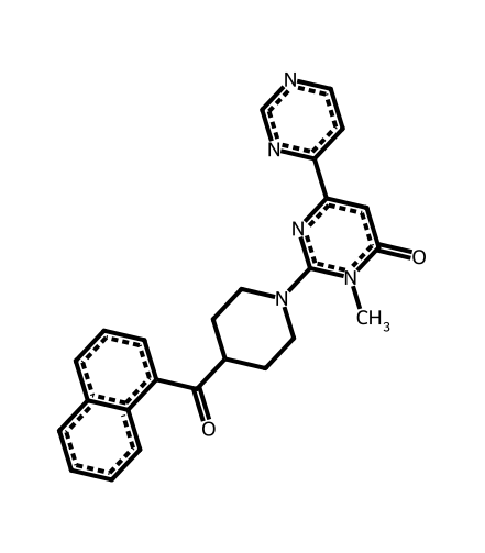 Cn1c(N2CCC(C(=O)c3cccc4ccccc34)CC2)nc(-c2ccncn2)cc1=O